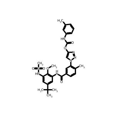 COc1c(NC(=O)c2ccc(C)c(-n3cc(OC(=O)Nc4cccc(C)c4)nn3)c2)cc(C(C)(C)C)cc1NS(C)(=O)=O